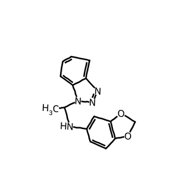 CC(Nc1ccc2c(c1)OCO2)n1nnc2ccccc21